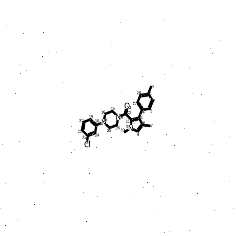 Cc1ccc(-c2c(C)cn(C)c2C(=O)N2CCN(c3cccc(Cl)c3)CC2)cc1